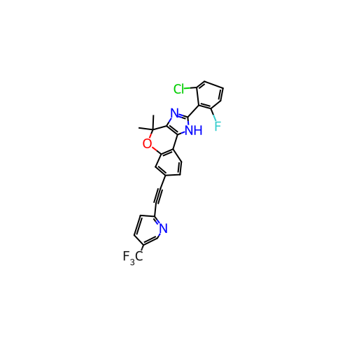 CC1(C)Oc2cc(C#Cc3ccc(C(F)(F)F)cn3)ccc2-c2[nH]c(-c3c(F)cccc3Cl)nc21